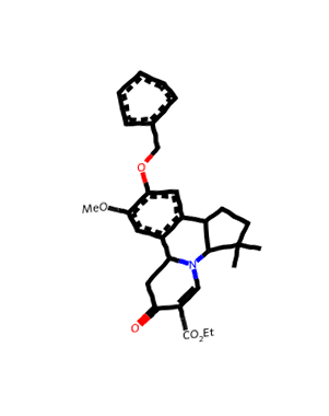 CCOC(=O)C1=CN2C(CC1=O)c1cc(OC)c(OCc3ccccc3)cc1C1CCC(C)(C)C12